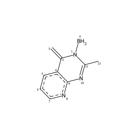 BN1C(=C)c2cccnc2N=C1C